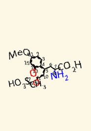 COc1ccc2c(CC(N)C(=O)O)cc(=O)oc2c1.CS(=O)(=O)O